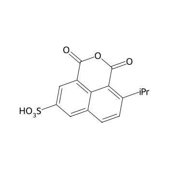 CC(C)c1ccc2cc(S(=O)(=O)O)cc3c2c1C(=O)OC3=O